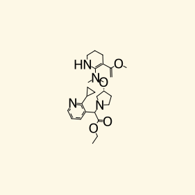 C=C(OC)C1=C(N(C)O[C@@H]2CCN(C(C(=O)OCC)c3cccnc3C3CC3)C2)NCCC1